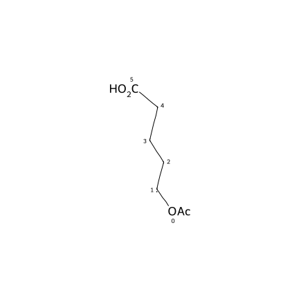 CC(=O)O[CH]CCCC(=O)O